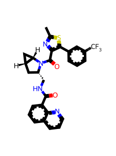 Cc1nc(C(=O)N2[C@H](CNC(=O)c3cccc4cccnc34)C[C@@H]3C[C@@H]32)c(-c2cccc(C(F)(F)F)c2)s1